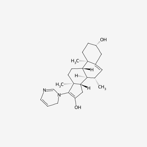 C[C@H]1C=C2C[C@@H](O)CC[C@]2(C)[C@H]2CC[C@]3(C)C(N4C=NC=CC4)=C(O)C[C@H]3[C@H]12